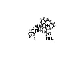 N=S(=O)(NC1CN(C(=O)CN)CC(N2c3ccccc3CCc3ccccc32)C1O)c1ccc(OC(F)(F)F)cc1